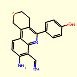 N=Cc1c(N)ccc2c3c(c(-c4ccc(O)cc4)nc12)CCSC3